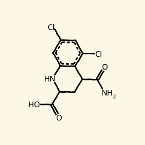 NC(=O)C1CC(C(=O)O)Nc2cc(Cl)cc(Cl)c21